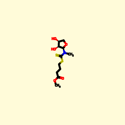 COC(=O)CCCSC(=S)N(C)[C@@H]1OC[C@@H](O)[C@H]1O